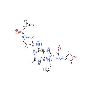 CCn1c(C(=O)NC2COC2)nc2c(NC3CCN(C(=O)C4CC4)C3)ncnc21